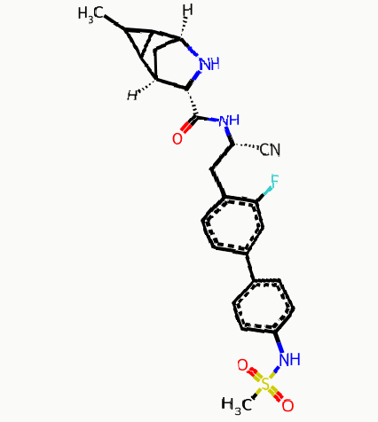 CC1C2C1[C@H]1C[C@@H]2N[C@@H]1C(=O)N[C@H](C#N)Cc1ccc(-c2ccc(NS(C)(=O)=O)cc2)cc1F